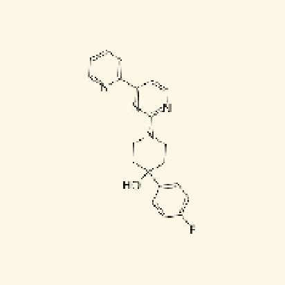 OC1(c2ccc(F)cc2)CCN(c2nccc(-c3ccccn3)n2)CC1